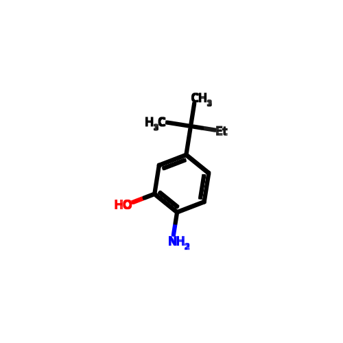 CCC(C)(C)c1ccc(N)c(O)c1